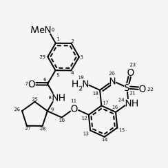 CNc1cccc(C(=O)NC2(COc3cccc4c3C(N)=NS(=O)(=O)N4)CCCC2)c1